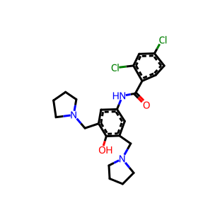 O=C(Nc1cc(CN2CCCC2)c(O)c(CN2CCCC2)c1)c1ccc(Cl)cc1Cl